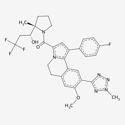 COc1cc2c(cc1-c1nnn(C)n1)-c1c(-c3ccc(F)cc3)cc(C(=O)N3CCC[C@@]3(C)[C@H](O)CC(F)(F)F)n1CC2